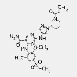 C=CC(=O)N1CCC[C@H](n2cc(Nc3ncc(C(N)=O)c(Nc4c(C)cc(S(=O)(=O)CC)cc4OC)n3)cn2)C1